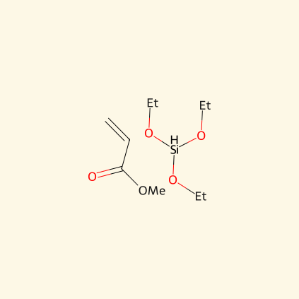 C=CC(=O)OC.CCO[SiH](OCC)OCC